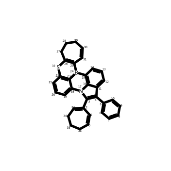 C1=CC(c2c(-c3ccccc3)c3cccc4c3n2-c2cccc3c2B4C2=C(CCCC=C2)S3)=CCCC1